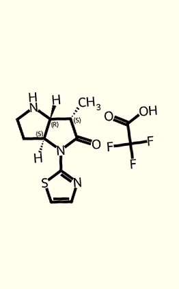 C[C@@H]1C(=O)N(c2nccs2)[C@H]2CCN[C@H]12.O=C(O)C(F)(F)F